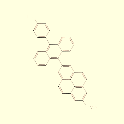 COc1cc2ccc3cc(-c4c5ccccc5c(-c5ccc(C(F)(F)F)cc5)c5ccccc45)cc4ccc(c1)c2c34